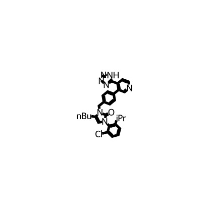 CCCCc1cn(-c2c(Cl)cccc2C(C)C)c(=O)n1Cc1ccc(-c2cnccc2-c2nnn[nH]2)cc1